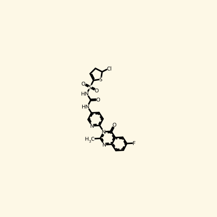 Cc1nc2ccc(F)cc2c(=O)n1-c1ccc(NC(=O)NS(=O)(=O)C2=CCC(Cl)S2)cn1